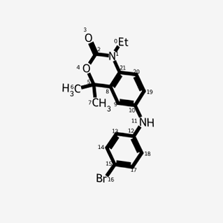 CCN1C(=O)OC(C)(C)c2cc(Nc3ccc(Br)cc3)ccc21